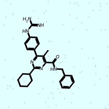 Cc1c(C(=O)NCc2ccccc2)nc(C2CCCCC2)nc1-c1ccc(NC(=N)N)cc1